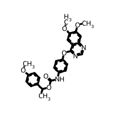 COc1ccc(C(C)OC(=O)Nc2ccc(Oc3ncnc4cc(OC)c(OC)cc34)cc2)cc1